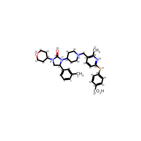 Cc1cccc(C2CN(C3CCOCC3)C(=O)N2C2CCN(Cc3ccc(Sc4ccc(C(=O)O)cc4)nc3C)CC2)c1